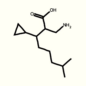 CC(C)CCCC(C1CC1)C(CN)C(=O)O